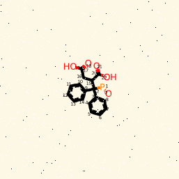 O=PC(c1ccccc1)(c1ccccc1)C(CC(=O)O)C(=O)O